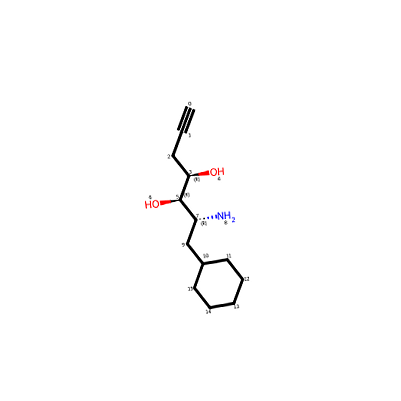 C#CC[C@@H](O)[C@H](O)[C@H](N)CC1CCCCC1